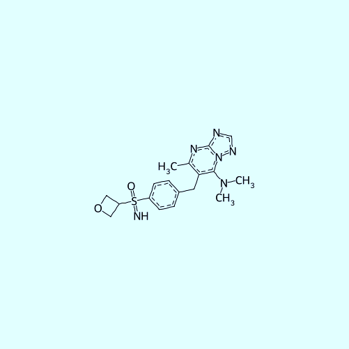 Cc1nc2ncnn2c(N(C)C)c1Cc1ccc(S(=N)(=O)C2COC2)cc1